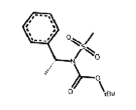 C[C@H](c1ccccc1)N(C(=O)OC(C)(C)C)S(C)(=O)=O